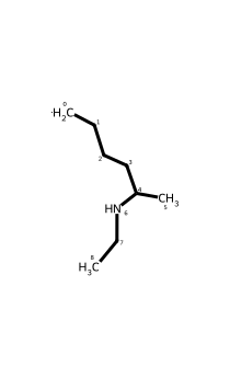 [CH2]CCCC(C)NCC